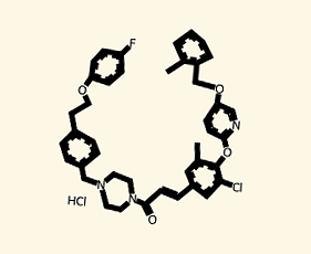 Cc1ccccc1COc1ccc(Oc2c(C)cc(C=CC(=O)N3CCN(Cc4ccc(CCOc5ccc(F)cc5)cc4)CC3)cc2Cl)nc1.Cl